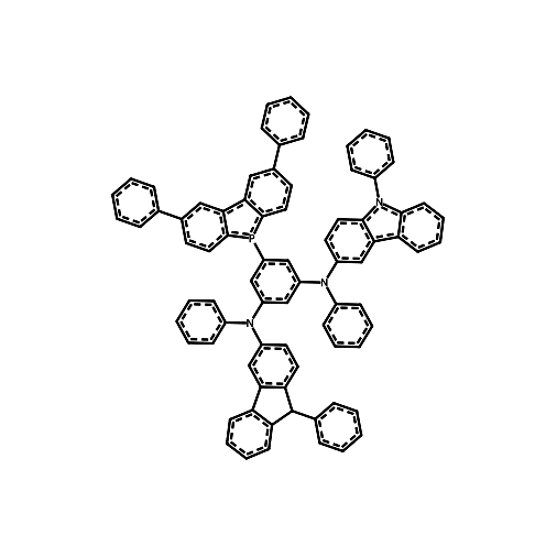 c1ccc(-c2ccc3c(c2)c2cc(-c4ccccc4)ccc2p3-c2cc(N(c3ccccc3)c3ccc4c(c3)-c3ccccc3C4c3ccccc3)cc(N(c3ccccc3)c3ccc4c(c3)c3ccccc3n4-c3ccccc3)c2)cc1